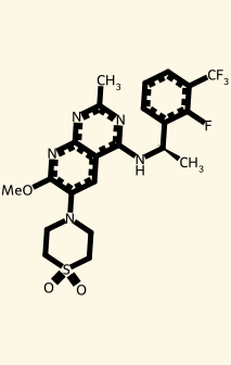 COc1nc2nc(C)nc(N[C@H](C)c3cccc(C(F)(F)F)c3F)c2cc1N1CCS(=O)(=O)CC1